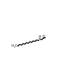 CCCCCCCCCCCCCCNCC1CO1